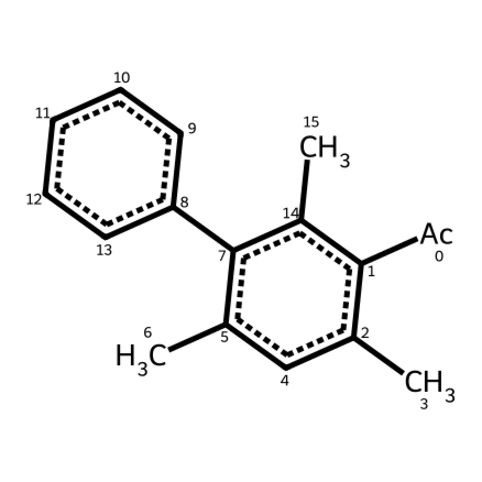 [CH2]C(=O)c1c(C)cc(C)c(-c2ccccc2)c1C